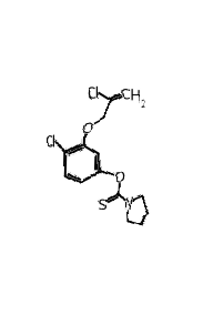 C=C(Cl)COc1cc(OC(=S)N2CCCC2)ccc1Cl